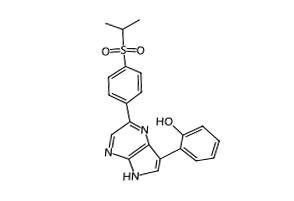 CC(C)S(=O)(=O)c1ccc(-c2cnc3[nH]cc(-c4ccccc4O)c3n2)cc1